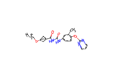 COC12CC(C(=O)NC(=O)Nc3ccc(Oc4ncccn4)c(C)c3)(C1)C2